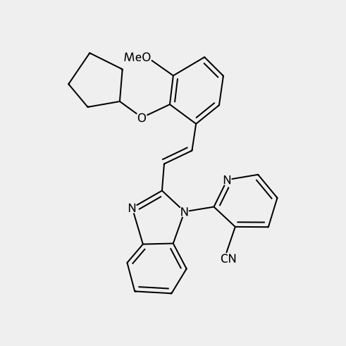 COc1cccc(C=Cc2nc3ccccc3n2-c2ncccc2C#N)c1OC1CCCC1